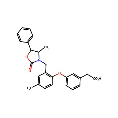 CC1C(c2ccccc2)OC(=O)N1Cc1cc(C(F)(F)F)ccc1Oc1cccc(CC(=O)O)c1